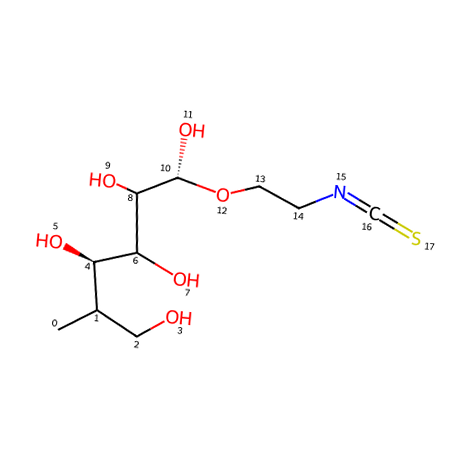 CC(CO)[C@@H](O)C(O)C(O)[C@H](O)OCCN=C=S